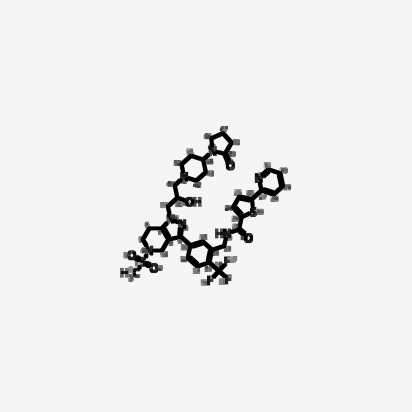 CS(=O)(=O)N1CCc2c(c(-c3ccc(C(F)(F)F)c(CNC(=O)c4ccc(-c5ccccn5)s4)c3)nn2CC(O)CN2CCC(N3CCCC3=O)CC2)C1